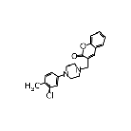 Cc1ccc(N2CCN(Cc3cc4ccccc4oc3=O)CC2)cc1Cl